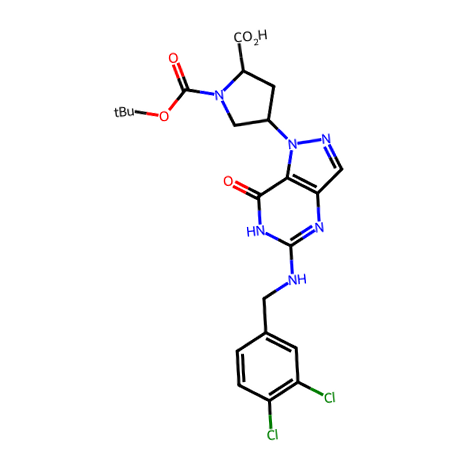 CC(C)(C)OC(=O)N1CC(n2ncc3nc(NCc4ccc(Cl)c(Cl)c4)[nH]c(=O)c32)CC1C(=O)O